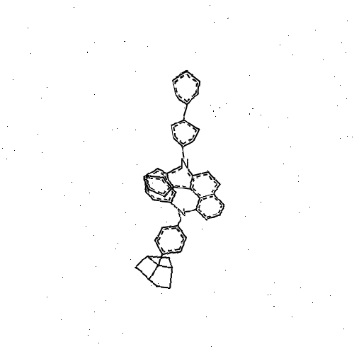 c1ccc(-c2ccc(-n3c4ccccc4c4c5c(N(c6ccccc6)c6ccc(C78C9CCC7CC8C9)cc6)cccc5ccc43)cc2)cc1